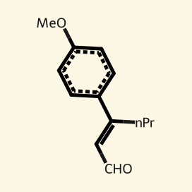 CCC/C(=C\C=O)c1ccc(OC)cc1